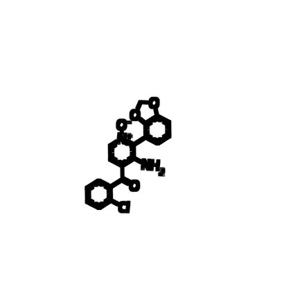 Nc1c(C(=O)c2ccccc2Cl)cc[n+]([O-])c1-c1cccc2c1OCO2